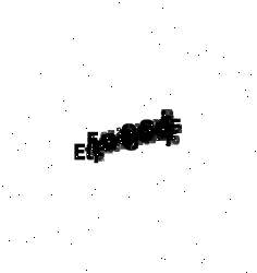 CC/C(F)=C(\F)c1ccc(C2COC(C3CCC(c4cc(F)c(F)c(F)c4)OC3)OC2)cc1